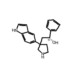 O[C@H](CC1(c2ccc3[nH]ccc3c2)CCNC1)c1ccccc1